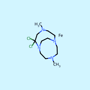 CN1CCN2CCN(C)CC(Cl)(Cl)N(CC1)CC2.[Fe]